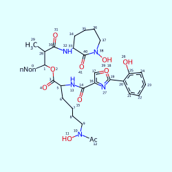 CCCCCCCCCC(OC(=O)C(CCCCN(O)C(C)=O)NC(=O)c1coc(-c2ccccc2O)n1)C(C)C(=O)NC1CCCCN(O)C1=O